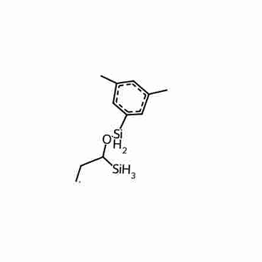 [CH2]CC([SiH3])O[SiH2]c1cc(C)cc(C)c1